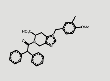 COc1ccc(Cn2cnc3c2CC(C(=O)O)N(C(=O)C(c2ccccc2)c2ccccc2)C3)cc1C